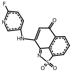 O=C1C=C(Nc2ccc(F)nc2)C2=NS(=O)(=O)c3cccc1c32